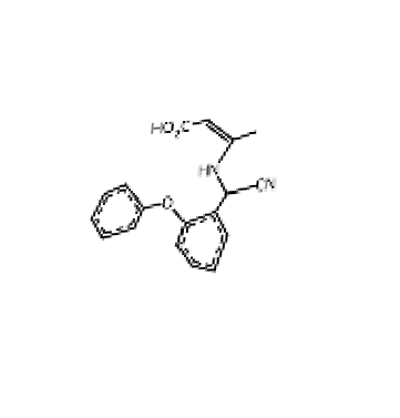 C/C(=C/C(=O)O)NC(C#N)c1ccccc1Oc1ccccc1